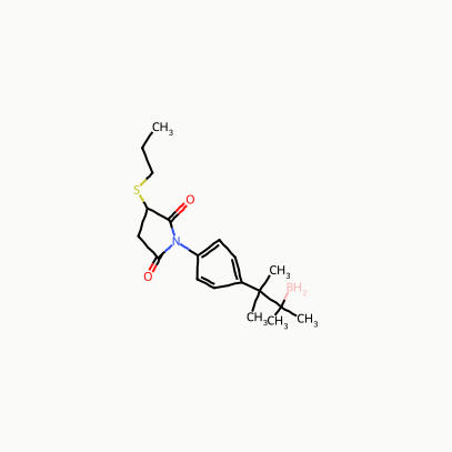 BC(C)(C)C(C)(C)c1ccc(N2C(=O)CC(SCCC)C2=O)cc1